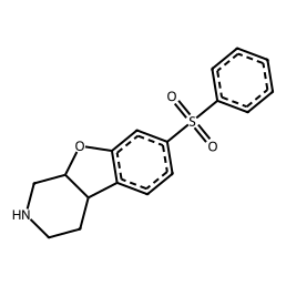 O=S(=O)(c1ccccc1)c1ccc2c(c1)OC1CNCCC21